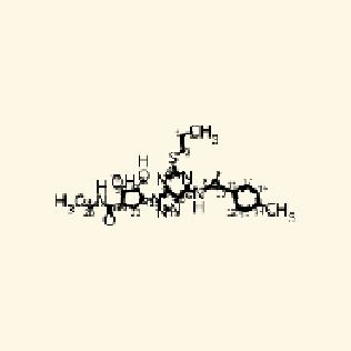 CCCSc1nc(NC2CC2c2ccc(C)cc2)c2nnn([C@H]3C[C@@H](C(=O)NCC)[C@H](O)[C@@H]3O)c2n1